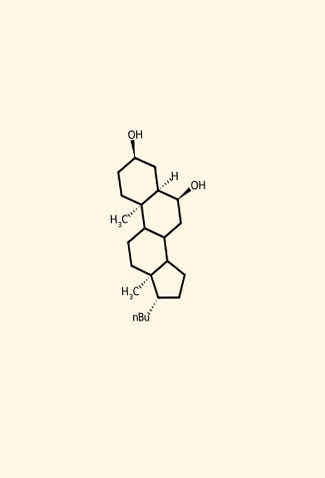 CCCC[C@H]1CCC2C3C[C@H](O)[C@@H]4C[C@H](O)CC[C@]4(C)C3CC[C@@]21C